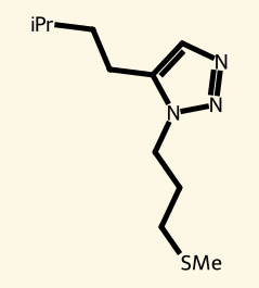 CSCCCn1nncc1CCC(C)C